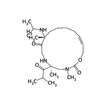 CC(C)N[C@]1(C)CCCC/C=C\COC(=O)N(C)C[C@@](C)(C(=O)C(C)C)NCC1=O